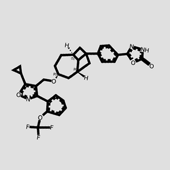 O=c1[nH]nc(-c2ccc(C34C[C@@H]5CC[C@@H](OCc6c(-c7ccccc7OC(F)(F)F)noc6C6CC6)C[C@@H](C3)C54)cc2)o1